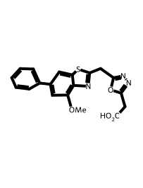 COc1cc(-c2ccccc2)cc2sc(Cc3nnc(CC(=O)O)o3)nc12